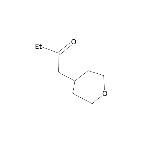 CCC(=O)CC1CCOCC1